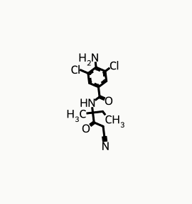 CCC(C)(NC(=O)c1cc(Cl)c(N)c(Cl)c1)C(=O)CC#N